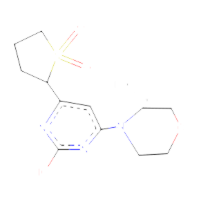 C[C@@H]1COCCN1c1cc(C2CCCS2(=O)=O)nc(O)n1